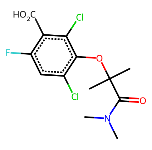 CN(C)C(=O)C(C)(C)Oc1c(Cl)cc(F)c(C(=O)O)c1Cl